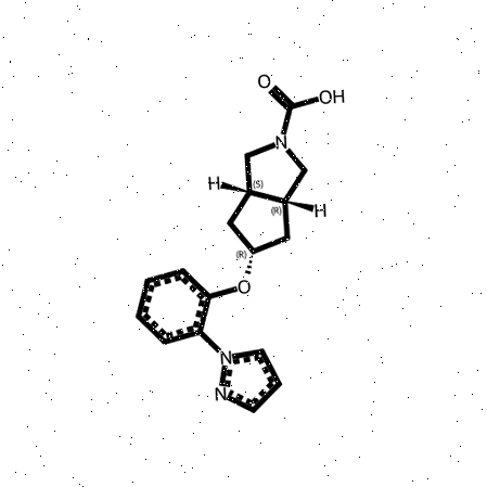 O=C(O)N1C[C@H]2C[C@@H](Oc3ccccc3-n3cccn3)C[C@H]2C1